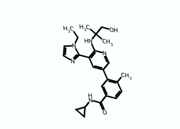 CCn1ccnc1-c1cc(-c2cc(C(=O)NC3CC3)ccc2C)cnc1NC(C)(C)CO